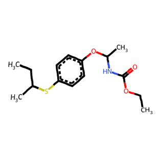 CCOC(=O)NC(C)Oc1ccc(SC(C)CC)cc1